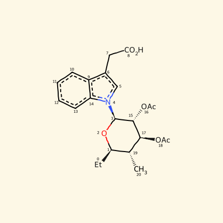 CC[C@H]1O[C@@H](n2cc(CC(=O)O)c3ccccc32)[C@H](OC(C)=O)[C@@H](OC(C)=O)[C@@H]1C